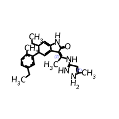 CCc1ccc(C)c(C2C=C3C(=CC2CC)NC(=O)/C3=C(/C)NC(=N)/C=C(/C)N)c1